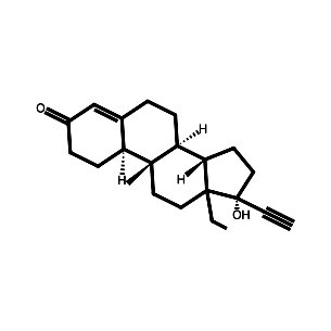 C#C[C@]1(O)CC[C@H]2[C@@H]3CCC4=CC(=O)CC[C@@H]4[C@@]3(C)CCC21CC